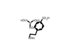 CCCCCCCCCCCCc1ccc(S(=O)(=O)O)cc1.CCCCCCCCN(CCCCCCCC)CCCCCCCC